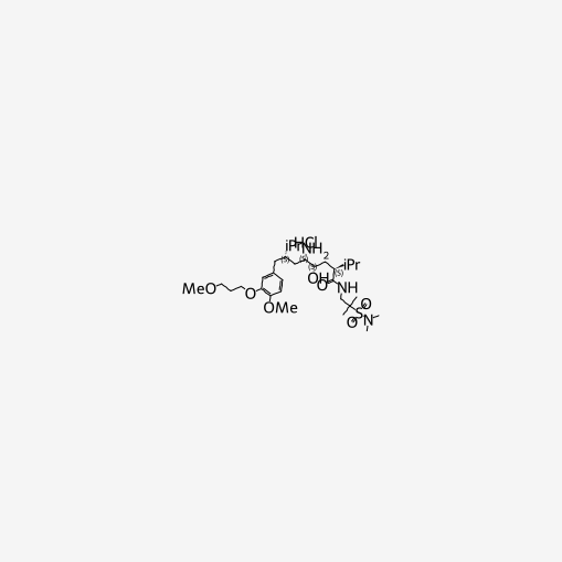 COCCCOc1cc(C[C@@H](C[C@H](N)[C@@H](O)C[C@H](C(=O)NCC(C)(C)S(=O)(=O)N(C)C)C(C)C)C(C)C)ccc1OC.Cl